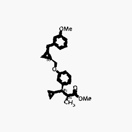 COC(=O)[C@@H](C)[C@H](c1cccc(OC[C@H]2CC2Cc2cccc(OC)c2)c1)C1CC1